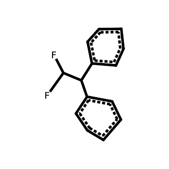 FC(F)[C](c1ccccc1)c1ccccc1